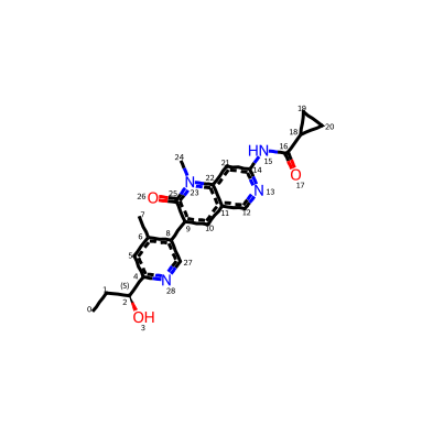 CC[C@H](O)c1cc(C)c(-c2cc3cnc(NC(=O)C4CC4)cc3n(C)c2=O)cn1